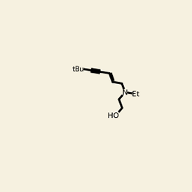 CCN(C/C=C/C#CC(C)(C)C)CCO